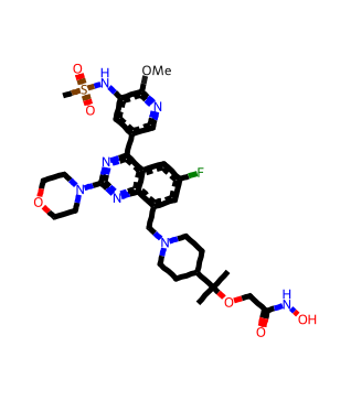 COc1ncc(-c2nc(N3CCOCC3)nc3c(CN4CCC(C(C)(C)OCC(=O)NO)CC4)cc(F)cc23)cc1NS(C)(=O)=O